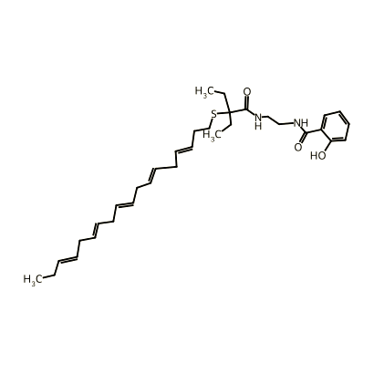 CCC=CCC=CCC=CCC=CCC=CCCSC(CC)(CC)C(=O)NCCNC(=O)c1ccccc1O